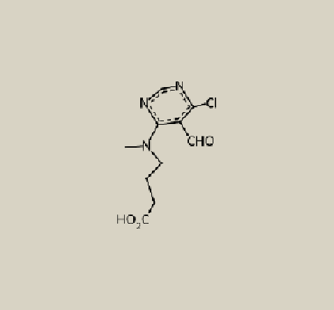 CN(CCCC(=O)O)c1ncnc(Cl)c1C=O